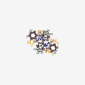 PC(c1ccccc1)(c1ccccc1)N(CCN(C(P)(c1ccccc1)c1ccccc1)C(P)(c1ccccc1)c1ccccc1)C(P)(c1ccccc1)c1ccccc1